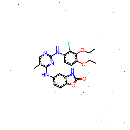 CCOc1ccc(Nc2ncc(C)c(Nc3ccc4oc(=O)[nH]c4c3)n2)c(F)c1OCC